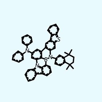 CC1(C)CCC(C)(C)c2cc(N3B4c5c(cc(N(c6ccccc6)c6ccccc6)cc5-n5c6ccccc6c6cccc4c65)-c4cc5c(cc43)sc3ccccc35)ccc21